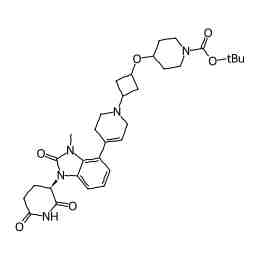 Cn1c(=O)n([C@@H]2CCC(=O)NC2=O)c2cccc(C3=CCN(C4CC(OC5CCN(C(=O)OC(C)(C)C)CC5)C4)CC3)c21